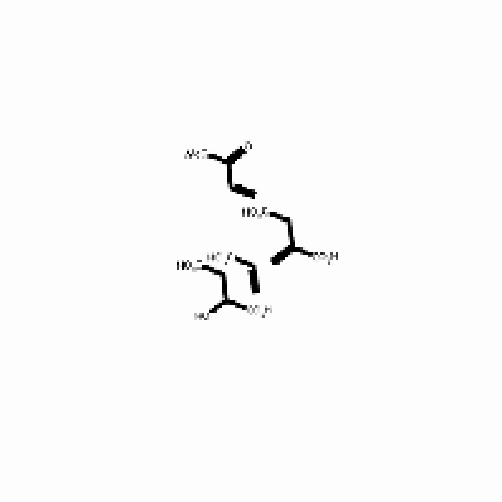 C=C(CC(=O)O)C(=O)O.C=CC(=O)O.C=CC(=O)OC.O=C(O)CC(O)C(=O)O